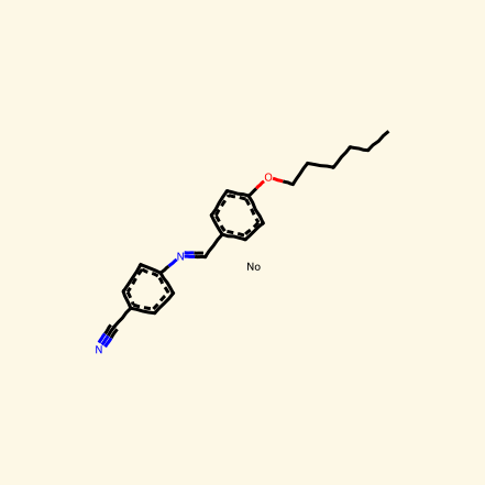 CCCCCCOc1ccc(C=Nc2ccc(C#N)cc2)cc1.[No]